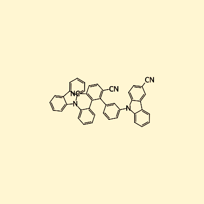 N#Cc1ccc2c(c1)c1ccccc1n2-c1cccc(-c2c(C#N)ccc(C#N)c2-c2ccccc2-n2c3ccccc3c3ccccc32)c1